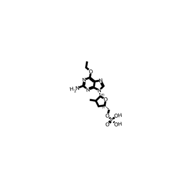 CCOc1nc(N)nc2c1ncn2[C@@H]1O[C@H](COP(=O)(O)O)CC1C